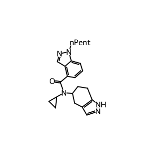 CCCCCn1ncc2c(C(=O)N(C3CC3)C3CCc4[nH]ncc4C3)cccc21